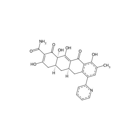 Cc1cc(-c2ccccn2)c2c(c1O)C(=O)C1=C(O)[C@]3(O)C(=O)C(C(N)=O)=C(O)C[C@@H]3C[C@@H]1C2